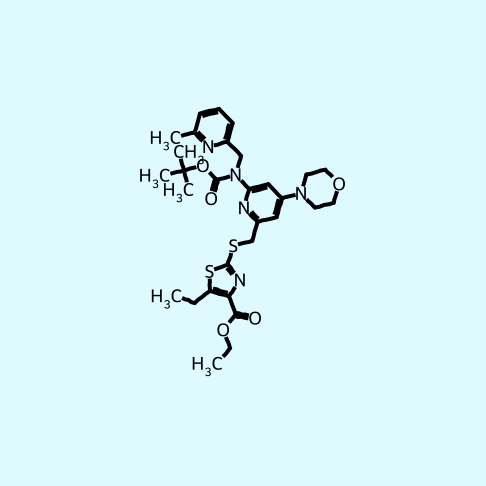 CCOC(=O)c1nc(SCc2cc(N3CCOCC3)cc(N(Cc3cccc(C)n3)C(=O)OC(C)(C)C)n2)sc1CC